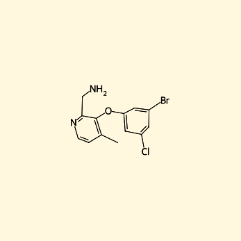 Cc1ccnc(CN)c1Oc1cc(Cl)cc(Br)c1